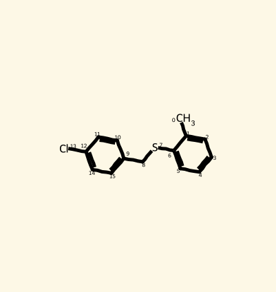 Cc1ccccc1SCc1ccc(Cl)cc1